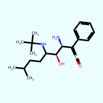 CC(C)CCC(NC(C)(C)C)[C@H](O)[C@@H](N)C(=C=O)c1ccccc1